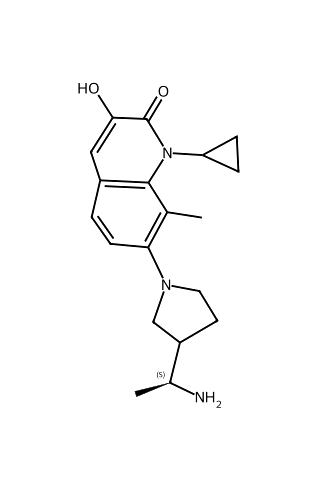 Cc1c(N2CCC([C@H](C)N)C2)ccc2cc(O)c(=O)n(C3CC3)c12